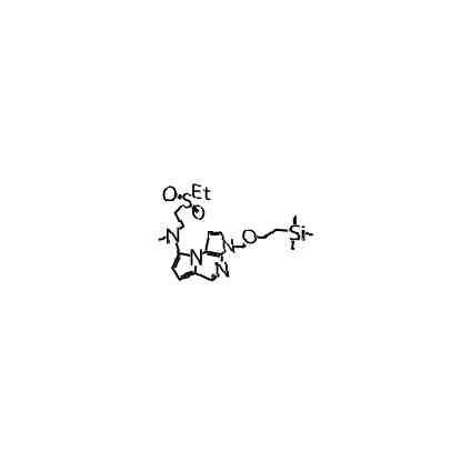 CCS(=O)(=O)CCN(C)c1ccc2cnc3c(ccn3COCC[Si](C)(C)C)n12